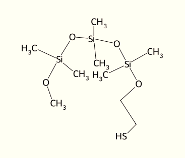 CO[Si](C)(C)O[Si](C)(C)O[Si](C)(C)OCCS